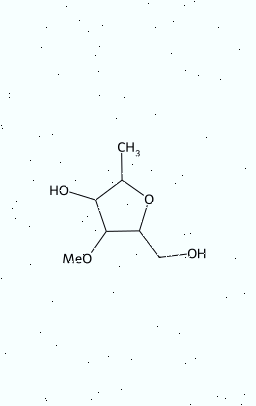 COC1C(CO)OC(C)C1O